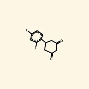 O=C1CC(=O)CC(c2ccc(F)cc2F)C1